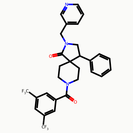 O=C(c1cc(C(F)(F)F)cc(C(F)(F)F)c1)N1CCC2(CC1)C(=O)N(Cc1cccnc1)CC2c1ccccc1